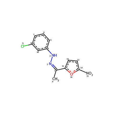 CC(=NNc1cccc(Cl)c1)c1ccc([N+](=O)[O-])o1